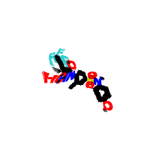 COc1ccc(N(C)S(=O)(=O)c2ccc(NC(=O)[C@@](C)(O)C(F)(F)F)c(C)c2)cc1